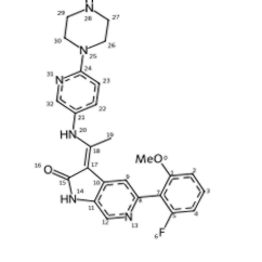 COc1cccc(F)c1-c1cc2c(cn1)NC(=O)C2=C(C)Nc1ccc(N2CCNCC2)nc1